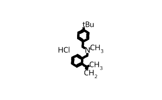 C=C(C)c1ccccc1CN(C)Cc1ccc(C(C)(C)C)cc1.Cl